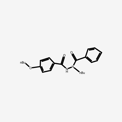 CCCCOc1ccc(C(=O)NN(CCCC)C(=O)c2ccccc2)cc1